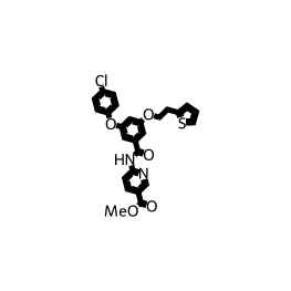 COC(=O)c1ccc(NC(=O)c2cc(OCCc3cccs3)cc(Oc3ccc(Cl)cc3)c2)nc1